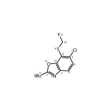 CC(C)(C)c1nc2ccc(Cl)c(SCF)c2o1